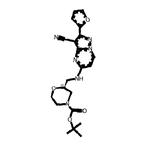 CC(C)(C)OC(=O)N1CCO[C@@H](CNc2ccn3nc(-c4ccco4)c(C#N)c3n2)C1